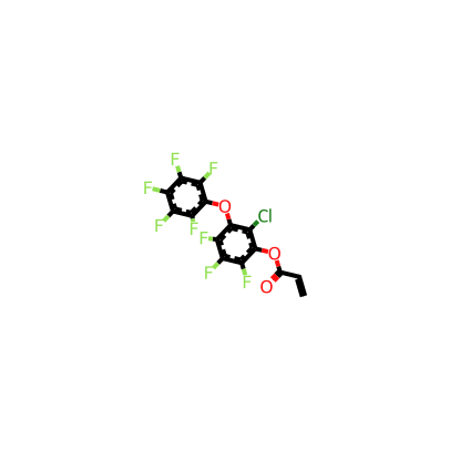 C=CC(=O)Oc1c(F)c(F)c(F)c(Oc2c(F)c(F)c(F)c(F)c2F)c1Cl